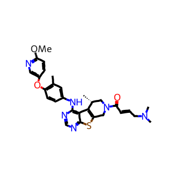 COc1ccc(Oc2ccc(Nc3ncnc4sc5c(c34)[C@H](C)CN(C(=O)C=CCN(C)C)C5)cc2C)cn1